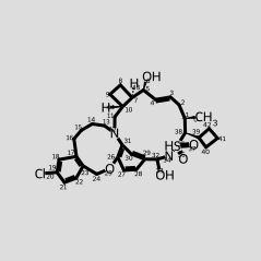 C[C@@H]1C/C=C/[C@H](O)[C@@H]2CC[C@H]2CN2CCCCc3cc(Cl)ccc3COc3ccc(cc32)C(O)NS(=O)(=O)[C@@H]1C1CCC1